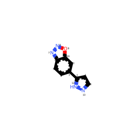 c1cc(-c2ccc3nnoc3c2)[nH]n1